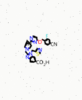 N#Cc1ccc(COc2ccnc([C@]34CCN(Cc5nc6ccc(C(=O)O)cc6n5Cc5cncs5)C[C@H]3C4)n2)c(F)c1